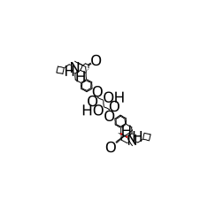 CC1CC(=O)C[C@]23CCN(CC4CCC4)[C@H](Cc4ccc(OC(=O)C(O)C(O)C(=O)Oc5ccc6c(c5)[C@]57CCN(CC8CCC8)[C@H](C6)[C@@H]5C(C)CC(=O)C7)cc42)[C@H]13